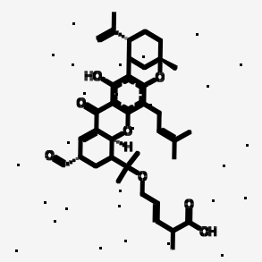 C=C(C)[C@@H]1CC[C@@]2(C)CC1c1c(O)c3c(c(CC=C(C)C)c1O2)O[C@@H]1C(=C[C@@H](C=O)CC1C(C)(C)OC/C=C/C(C)C(=O)O)C3=O